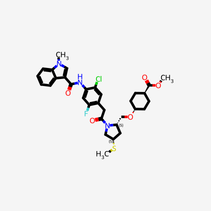 COC(=O)[C@H]1CC[C@H](OC[C@@H]2C[C@H](SC)CN2C(=O)Cc2cc(Cl)c(NC(=O)c3cn(C)c4ccccc34)cc2F)CC1